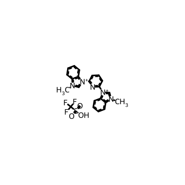 Cn1c[n+](-c2cccc(-[n+]3cn(C)c4ccccc43)n2)c2ccccc21.O=S(=O)(O)C(F)(F)F